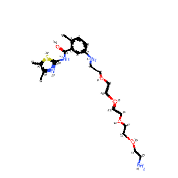 Cc1ccc(NCCOCCOCCOCCOCCN)cc1C(=O)Nc1nc(C)c(C)s1